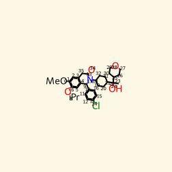 COc1cc2c(cc1OC(C)C)C(c1ccc(Cl)cc1)N(C1CCC(C(C)(O)C3CCOCC3)CC1)C(=O)C2